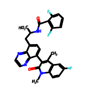 Cc1c(-c2ccc(CC(NC(=O)c3c(F)cccc3F)C(=O)O)c3nccnc23)c(=O)n(C)c2ccc(F)cc12